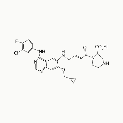 CCOC(=O)C1CNCCN1C(=O)C=CCNc1cc2c(Nc3ccc(F)c(Cl)c3)ncnc2cc1OCC1CC1